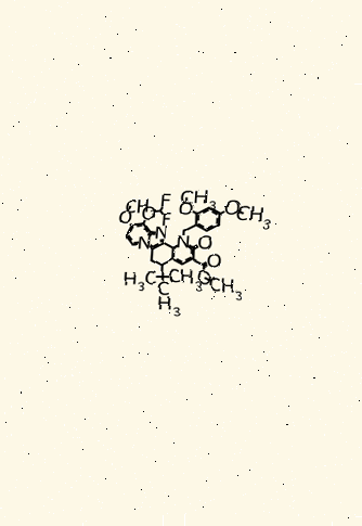 COC(=O)c1cc2c(n(Cc3ccc(OC)cc3OC)c1=O)-c1nc3c(OC(F)F)c(OC)ccn3c1CC2C(C)(C)C